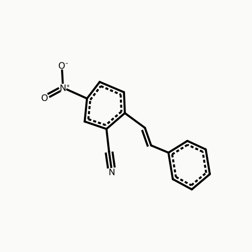 N#Cc1cc([N+](=O)[O-])ccc1/C=C/c1ccccc1